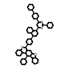 c1ccc(-c2ccc(-c3cc(-c4ccc(-c5ccc(-c6nc7ccccc7c7c(-c8ccccc8)c8c(cc67)oc6ccccc68)cc5)c5ccccc45)nc(-c4ccccc4)n3)cc2)cc1